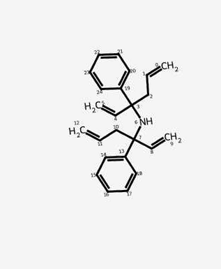 C=CCC(C=C)(NC(C=C)(CC=C)c1ccccc1)c1ccccc1